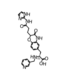 O=C(CCC1Oc2ccc(C[C@H](NCc3cccnc3)C(=O)O)cc2NC1=O)Nc1ncc[nH]1